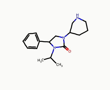 CC(C)N1C(=O)N(C2CCCNC2)CC1c1ccccc1